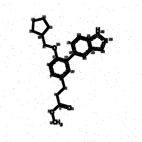 COC(=O)CCc1ccc(OCC2CCCC2)c(-c2ccc3[nH]ncc3c2)c1